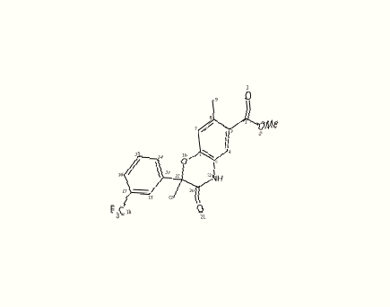 COC(=O)c1cc2c(cc1C)OC(C)(c1cccc(C(F)(F)F)c1)C(=O)N2